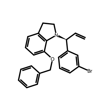 C=C[C@@H](c1cccc(Br)c1)N1CCc2cccc(OCc3ccccc3)c21